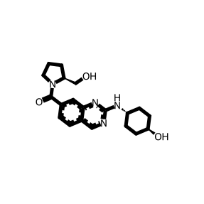 O=C(c1ccc2cnc(N[C@H]3CC[C@H](O)CC3)nc2c1)N1CCC[C@H]1CO